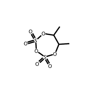 CC1OS(=O)(=O)OS(=O)(=O)OC1C